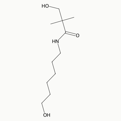 CC(C)(CO)C(=O)NCCCCCCO